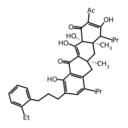 CCc1ccccc1CCCc1cc(C(C)C)c2c(c1O)C(=O)C1=C(O)[C@@]3(O)C(=O)C(C(C)=O)=C(O)C(C(C)C)[C@@]3(C)C[C@@]1(C)C2